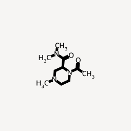 CC(=O)N1CCN(C)CC1C(=O)N(C)C